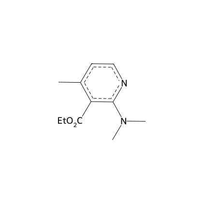 CCOC(=O)c1c(C)ccnc1N(C)C